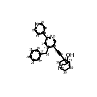 OC1(C#Cc2cnc(-c3ccncc3)cc2Cc2ccccc2)CN2CCC1CC2